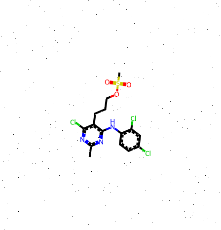 Cc1nc(Cl)c(CCCOS(C)(=O)=O)c(Nc2ccc(Cl)cc2Cl)n1